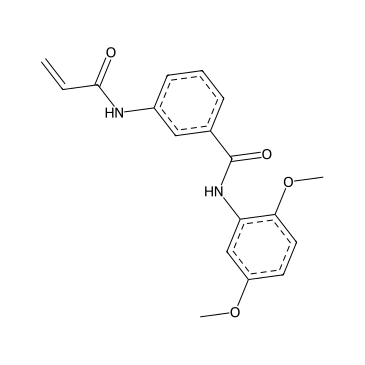 C=CC(=O)Nc1cccc(C(=O)Nc2cc(OC)ccc2OC)c1